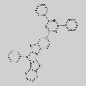 c1ccc(-c2nc(-c3ccccc3)nc(-c3ccc4c(c3)nc3n(-c5ccccc5)c5c6ccccc6oc5n43)n2)cc1